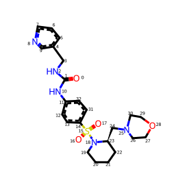 O=C(NCc1cccnc1)Nc1ccc(S(=O)(=O)N2CCCC[C@@H]2CN2CCOCC2)cc1